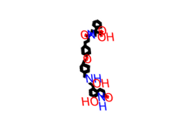 O=C(CCc1ccc(OCc2ccc(CNCC(O)c3ccc(O)c4[nH]c(=O)ccc34)cc2)cc1)N1CC(C(=O)O)(c2ccccc2)C1